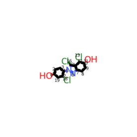 Oc1ccc(-n2nc3ccc(O)c(Cl)c3c2Cl)c(Cl)c1